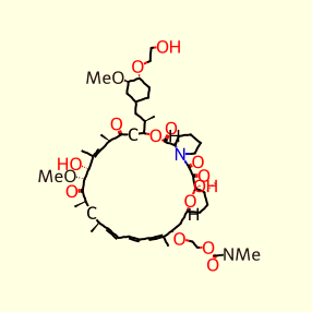 CNC(=O)OCCO[C@H]1C[C@@H]2CC[C@@H](C)[C@@](O)(O2)C(=O)C(=O)N2CCCC[C@H]2C(=O)OC([C@H](C)CC2CC[C@@H](OCCO)[C@H](OC)C2)CC(=O)[C@H](C)/C=C(\C)[C@@H](O)[C@@H](OC)C(=O)[C@H](C)C[C@H](C)/C=C/C=C/C=C/1C